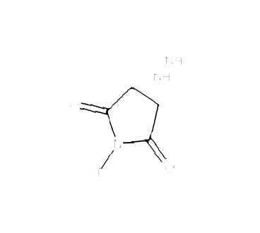 N.N.O=C1CCC(=O)N1Cl